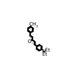 CCN(CC)c1ccc(/C=C/C(=O)/C=C/c2ccc(C)cc2)cc1